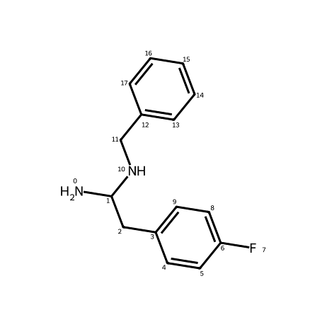 NC(Cc1ccc(F)cc1)NCc1ccccc1